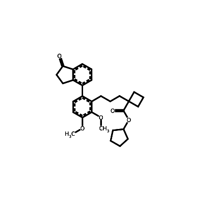 COc1ccc(-c2cccc3c2CCC3=O)c(CCCC2(C(=O)OC3CCCC3)CCC2)c1OC